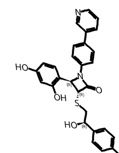 O=C1[C@H](SC[C@H](O)c2ccc(Cl)cc2)[C@@H](c2ccc(O)cc2O)N1c1ccc(-c2cccnc2)cc1